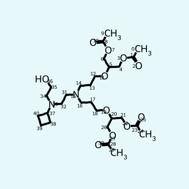 CC(=O)OCC(COC(C)=O)OCCCN(CCCOC(COC(C)=O)COC(C)=O)CCN(CCO)C1CCC1